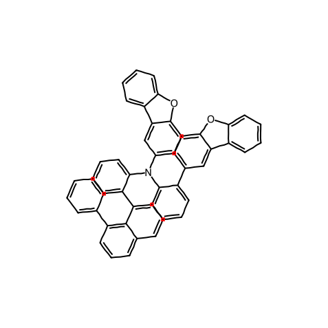 c1ccc(-c2cccc3cccc(-c4ccccc4N(c4ccc5oc6ccccc6c5c4)c4ccccc4-c4ccc5oc6ccccc6c5c4)c23)cc1